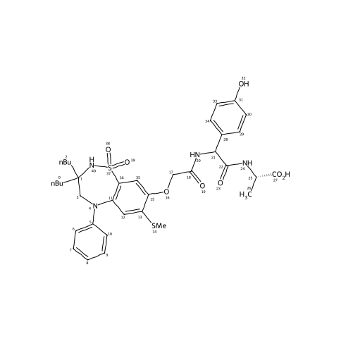 CCCCC1(CCCC)CN(c2ccccc2)c2cc(SC)c(OCC(=O)NC(C(=O)N[C@@H](C)C(=O)O)c3ccc(O)cc3)cc2S(=O)(=O)N1